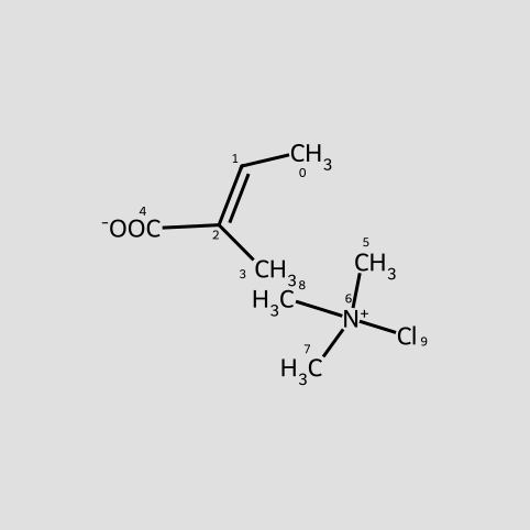 CC=C(C)C(=O)[O-].C[N+](C)(C)Cl